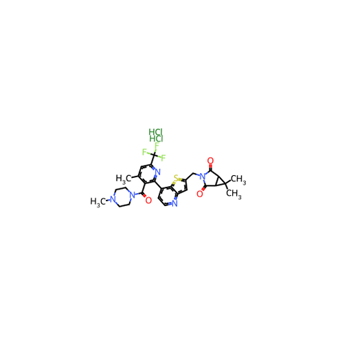 Cc1cc(C(F)(F)F)nc(-c2ccnc3cc(CN4C(=O)C5C(C4=O)C5(C)C)sc23)c1C(=O)N1CCN(C)CC1.Cl.Cl